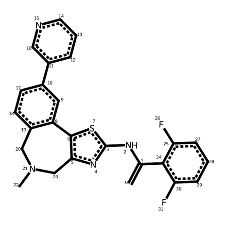 C=C(Nc1nc2c(s1)-c1cc(-c3cccnc3)ccc1CN(C)C2)c1c(F)cccc1F